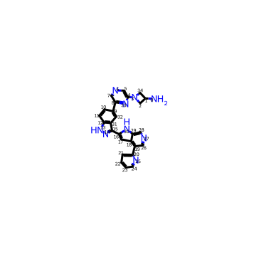 NC1CN(c2cncc(-c3ccc4[nH]nc(-c5cc6c(-c7ccccn7)cncc6[nH]5)c4c3)n2)C1